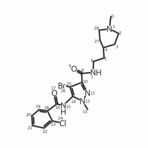 CN1CCC(CCNC(=O)c2nn(C)c(NC(=O)c3ccccc3Cl)c2Br)CC1